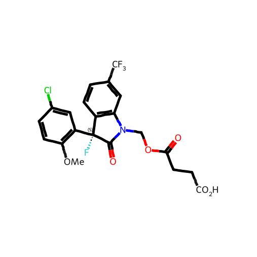 COc1ccc(Cl)cc1[C@]1(F)C(=O)N(COC(=O)CCC(=O)O)c2cc(C(F)(F)F)ccc21